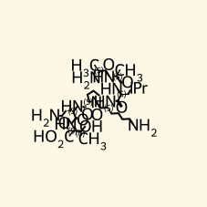 CC(C)C[C@H](NC(=O)[C@H](C)NC(=O)[C@H](C)N)C(=O)N[C@@H](CCCCN)C(=O)N1CCC[C@H]1C(=O)N[C@@H](CC(N)=O)C(=O)N[C@H](C(=O)O)[C@@H](C)O